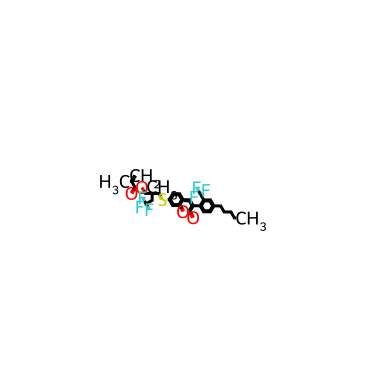 C=C(C)C(=O)OCC(C)(CSc1ccc2cc(-c3ccc(CCCCC)cc3C(F)(F)F)c(=O)oc2c1)CC(F)(F)F